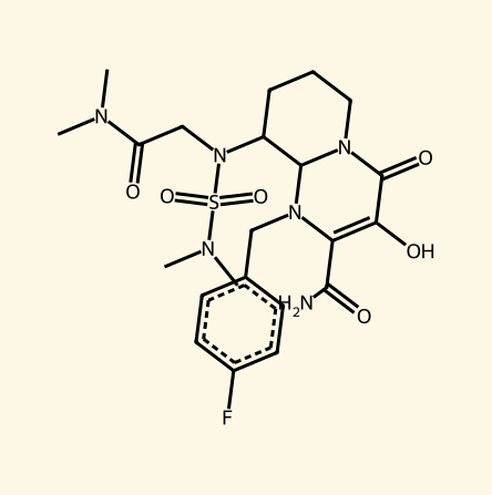 CN(C)C(=O)CN(C1CCCN2C(=O)C(O)=C(C(N)=O)N(Cc3ccc(F)cc3)C12)S(=O)(=O)N(C)C